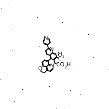 Cc1cc2nc(-c3ccncc3)ccc2c(-c2ccc3c4c(ccnc24)CCO3)c1CC(=O)O